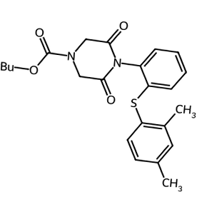 Cc1ccc(Sc2ccccc2N2C(=O)CN(C(=O)OC(C)(C)C)CC2=O)c(C)c1